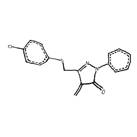 C=C1C(=O)N(c2ccccc2)N=C1CSc1ccc(Cl)cc1